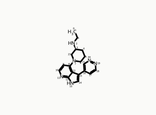 CCN[C@H]1CCCN(c2ccnc3[nH]cc(-c4ccnnc4)c23)C1